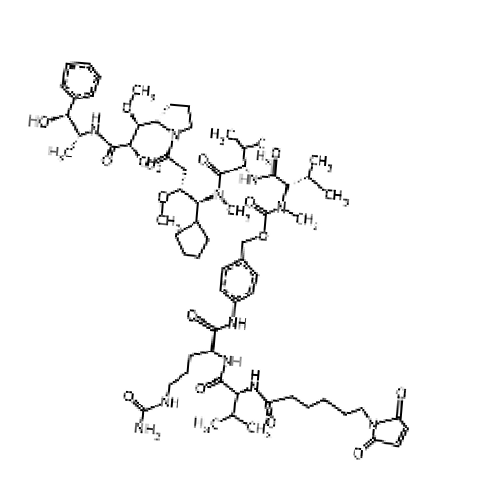 CO[C@H]([C@@H](C)C(=O)N[C@H](C)[C@@H](O)c1ccccc1)[C@@H]1CCCN1C(=O)C[C@@H](OC)[C@H](C1CCCC1)N(C)C(=O)[C@@H](NC(=O)[C@H](C(C)C)N(C)C(=O)OCc1ccc(NC(=O)C(CCCNC(N)=O)NC(=O)[C@@H](NC(=O)CCCCCN2C(=O)C=CC2=O)C(C)C)cc1)C(C)C